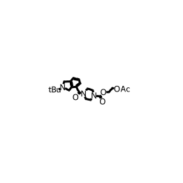 CC(=O)OCCOC(=O)N1CCN(C(=O)c2cccc3c2CN(C(C)(C)C)C3)CC1